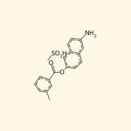 CS(=O)(=O)O.Cc1cccc(C(=O)Oc2ccc3cc(N)ccc3c2)c1